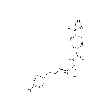 CS(=O)(=O)c1ccc(C(=O)N[C@@H]2CCC[C@H]2NCCc2ccc(Cl)cc2)cc1